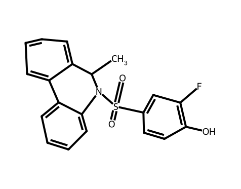 CC1c2ccccc2-c2ccccc2N1S(=O)(=O)c1ccc(O)c(F)c1